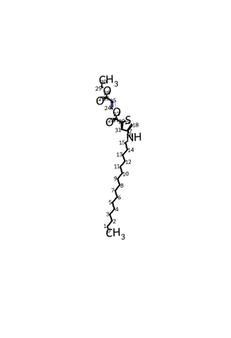 CCCCCCCCCCCCCCCCNc1csc(C(=O)O/C=C/C(=O)OCC)c1